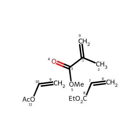 C=C(C)C(=O)OC.C=CC(=O)OCC.C=COC(C)=O